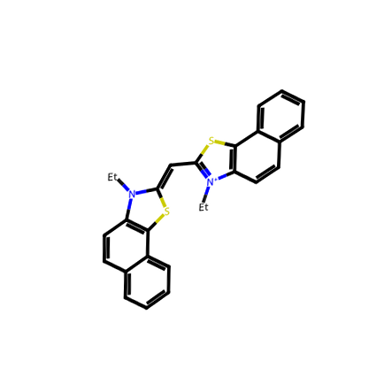 CCN1/C(=C/c2sc3c4ccccc4ccc3[n+]2CC)Sc2c1ccc1ccccc21